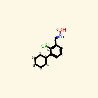 ON=Cc1cccc(C2CCCCC2)c1Cl